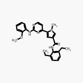 CCc1cccc(CC)c1NC(=O)c1cc(-c2ccnc(Nc3ccccc3OC)n2)n(C)c1